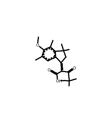 COc1c(C)cc2c(c1C)C(C)(C)CC2=C(C(=O)O)C(=O)C(C)(C)C